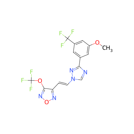 COc1cc(-c2ncn(C=Cc3nonc3OC(F)(F)F)n2)cc(C(F)(F)F)c1